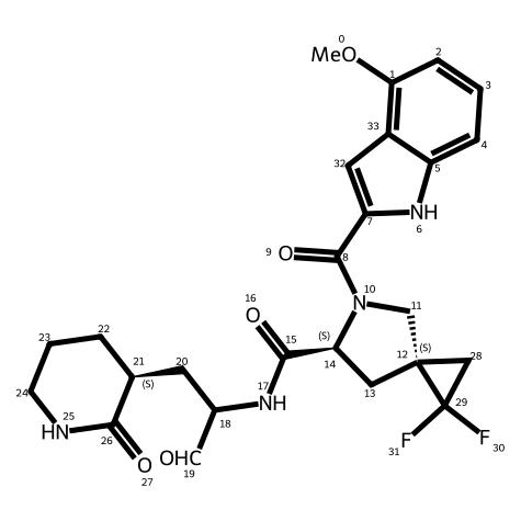 COc1cccc2[nH]c(C(=O)N3C[C@]4(C[C@H]3C(=O)NC(C=O)C[C@@H]3CCCNC3=O)CC4(F)F)cc12